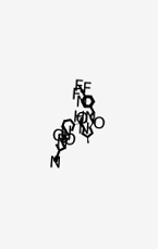 C[C@@H]1C[C@H](C(=O)NCc2ccc(C(F)(F)F)nc2)N(C(=O)[C@H]2CCCN(S(=O)(=O)N3CC(C#N)C3)C2)C1